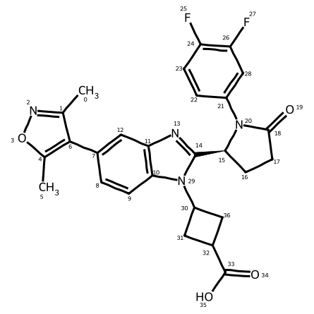 Cc1noc(C)c1-c1ccc2c(c1)nc([C@@H]1CCC(=O)N1c1ccc(F)c(F)c1)n2C1CC(C(=O)O)C1